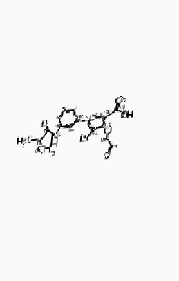 CC(C)C(=O)Nc1cccc(-c2sc(C(=O)O)c(OCC=O)c2Br)c1